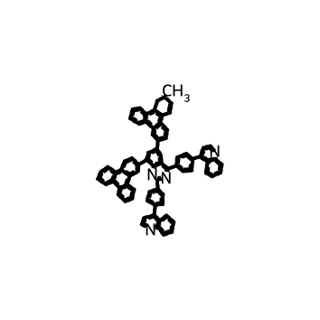 C[C@H]1C=Cc2c(c3ccccc3c3cc(-c4cc(-c5ccc6c7ccccc7c7ccccc7c6c5)c5nc(-c6ccc(-c7ccnc8ccccc78)cc6)nc(-c6ccc(-c7ccnc8ccccc78)cc6)c5c4)ccc23)C1